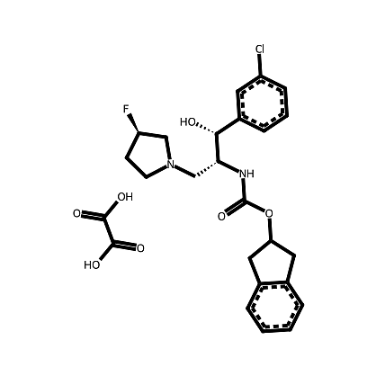 O=C(N[C@H](CN1CC[C@@H](F)C1)[C@H](O)c1cccc(Cl)c1)OC1Cc2ccccc2C1.O=C(O)C(=O)O